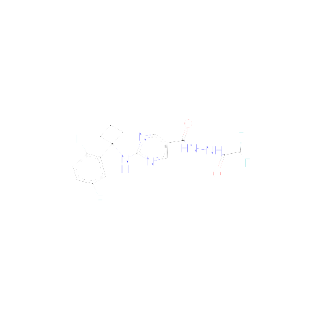 O=C(NNC(=O)C(F)F)c1cnc(NC2(c3cc(F)ccc3F)CCC2)nc1